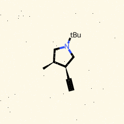 C#C[C@@H]1CN(C(C)(C)C)C[C@@H]1C